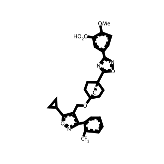 COc1ccc(-c2noc(C34CCC(OCc5c(-c6ccccc6C(F)(F)F)noc5C5CC5)(CC3)CC4)n2)cc1C(=O)O